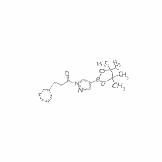 CC1(C)OB(c2cnn(C(=O)CCc3ccccc3)c2)OC1(C)C